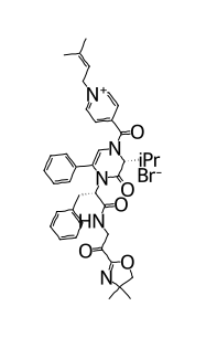 CC(C)=CC[n+]1ccc(C(=O)N2C=C(c3ccccc3)N([C@@H](Cc3ccccc3)C(=O)NCC(=O)C3=NC(C)(C)CO3)C(=O)[C@H]2C(C)C)cc1.[Br-]